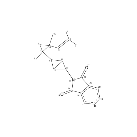 CC(C)=CC1(C)CC1(C)C1C2C1C2N1C(=O)c2ccccc2C1=O